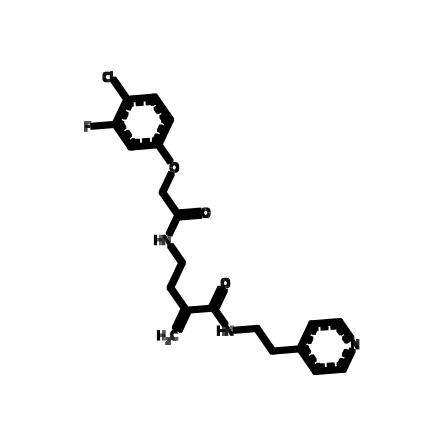 C=C(CCNC(=O)COc1ccc(Cl)c(F)c1)C(=O)NCCc1ccncc1